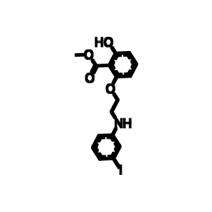 COC(=O)c1c(O)cccc1OCCNc1cccc(I)c1